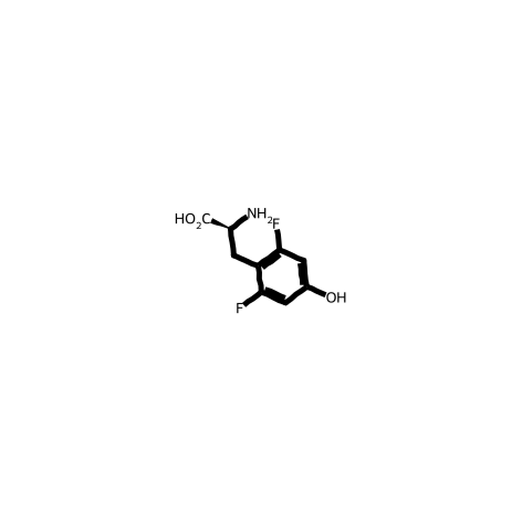 N[C@@H](Cc1c(F)cc(O)cc1F)C(=O)O